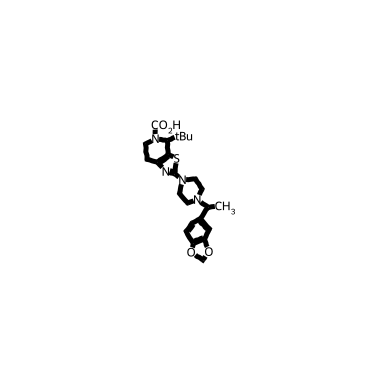 CC(c1ccc2c(c1)OCO2)N1CCN(c2nc3c(s2)C(C(C)(C)C)N(C(=O)O)CC3)CC1